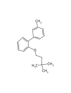 Cc1cccc(-c2ccccc2OCCC(C)(C)C)c1